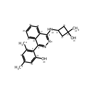 Cc1cc(C)c(-c2nnc(NC3CC(C)(O)C3)c3ccccc23)c(O)c1